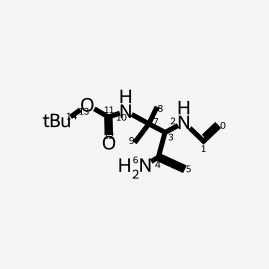 C=CNC(C(=C)N)C(C)(C)NC(=O)OC(C)(C)C